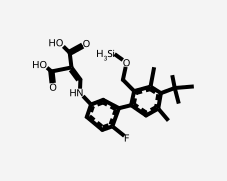 Cc1cc(-c2cc(NC=C(C(=O)O)C(=O)O)ccc2F)c(CO[SiH3])c(C)c1C(C)(C)C